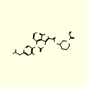 C=CC(=C)N1CCCC(NC(=O)c2sc3nccc4c3c2NC(=O)N4c2cnc(CC(C)C)cc2C)C1